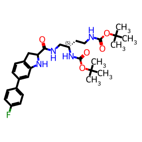 CC(C)(C)OC(=O)NCC[C@@H](CNC(=O)C1Cc2ccc(-c3ccc(F)cc3)cc2N1)NC(=O)OC(C)(C)C